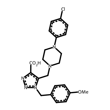 COc1ccc(Cn2nnc(C(=O)O)c2CN2CCN(c3ccc(Cl)cc3)CC2)cc1